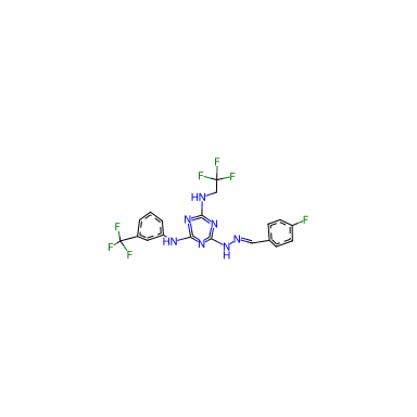 Fc1ccc(/C=N/Nc2nc(NCC(F)(F)F)nc(Nc3cccc(C(F)(F)F)c3)n2)cc1